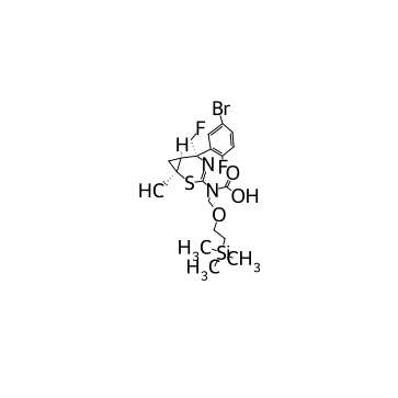 C#C[C@]12C[C@H]1[C@@](CF)(c1cc(Br)ccc1F)N=C(N(COCC[Si](C)(C)C)C(=O)O)S2